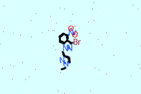 CCn1ccc(Cn2nc(Br)c3c([N+](=O)[O-])cccc32)n1